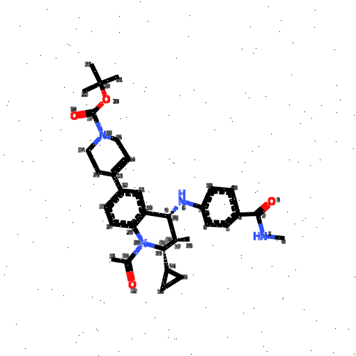 CNC(=O)c1ccc(N[C@H]2c3cc(C4=CCN(C(=O)OC(C)(C)C)CC4)ccc3N(C(C)=O)[C@@H](C3CC3)[C@@H]2C)cc1